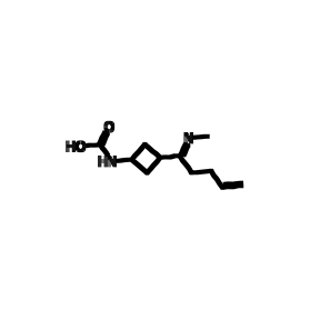 C=CCCC(=NC)C1CC(NC(=O)O)C1